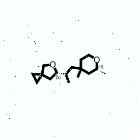 CC(CC1(C)CCO[C@H](C)C1)[C@@H]1CC2(CC2)CO1